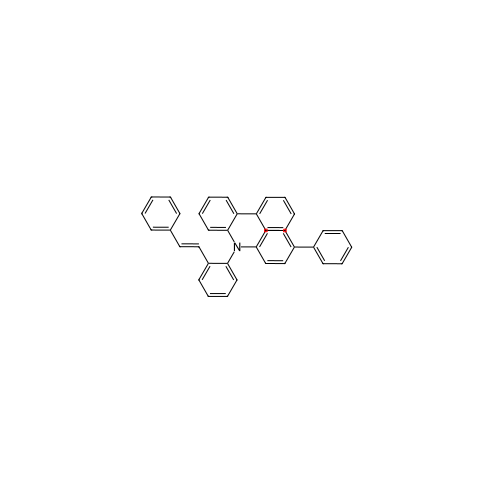 C(=C\c1ccccc1N(c1ccc(-c2ccccc2)cc1)c1ccccc1-c1ccccc1)/c1ccccc1